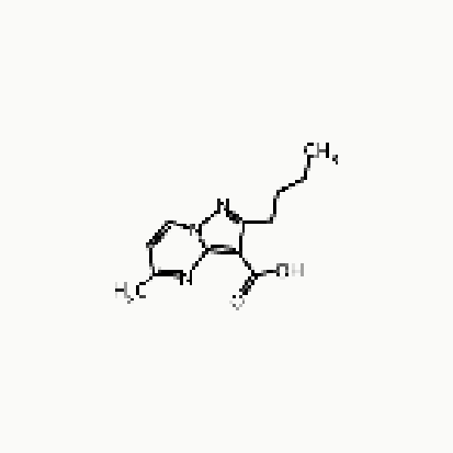 CCCCc1nn2ccc(C)nc2c1C(=O)O